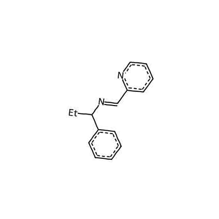 CCC(/N=C/c1ccccn1)c1ccccc1